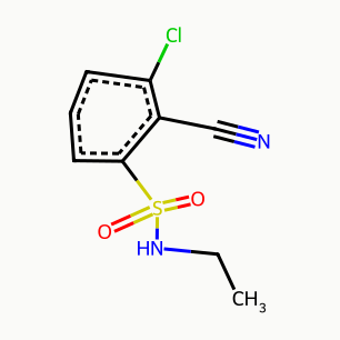 CCNS(=O)(=O)c1cccc(Cl)c1C#N